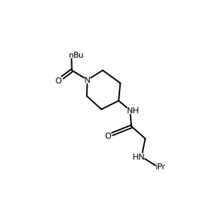 CCCCC(=O)N1CCC(NC(=O)CNC(C)C)CC1